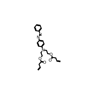 C=CCC(=O)OCCN(CCOC(=O)CC=C)c1ccc(N=Nc2ccccc2)cc1